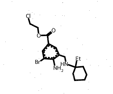 CCC1(NCc2cc(C(=O)OCCCl)cc(Br)c2N)CCCCC1